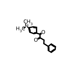 CN(C)c1ccc(C(=O)C(=O)CCc2ccccc2)cc1